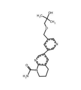 CC(C)(O)COCc1cncc(-c2cnc3c(c2)CCCN3C(N)=O)c1